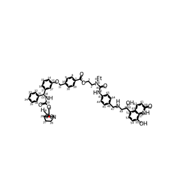 CCN(CCOC(=O)c1ccc(COc2cccc([C@@H](NC(=O)O[C@H]3CN4CCC3CC4)c3ccccc3)c2)cc1)C(=O)Nc1ccc(CNC[C@H](O)c2ccc(O)c3[nH]c(=O)ccc23)cc1